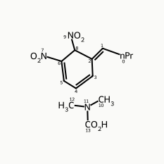 CCCC=C1C=CC=C([N+](=O)[O-])C1[N+](=O)[O-].CN(C)C(=O)O